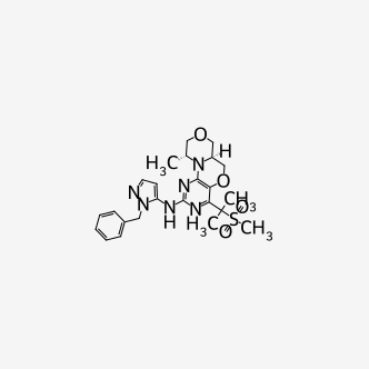 C[C@@H]1COC[C@H]2COc3c(nc(Nc4ccnn4Cc4ccccc4)nc3C(C)(C)S(C)(=O)=O)N21